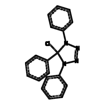 ClC1(c2ccccc2)N(c2ccccc2)N=NN1c1ccccc1